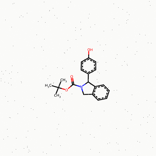 CC(C)(C)OC(=O)N1Cc2ccccc2C1c1ccc(O)cc1